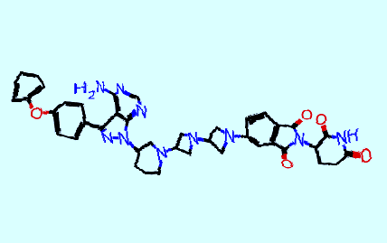 Nc1ncnc2c1c(-c1ccc(Oc3ccccc3)cc1)nn2C1CCCN(C2CN(C3CN(c4ccc5c(c4)C(=O)N(C4CCC(=O)NC4=O)C5=O)C3)C2)C1